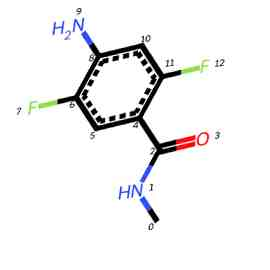 CNC(=O)c1cc(F)c(N)cc1F